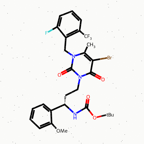 COc1ccccc1[C@H](CCn1c(=O)c(Br)c(C)n(Cc2c(F)cccc2C(F)(F)F)c1=O)NC(=O)OC(C)(C)C